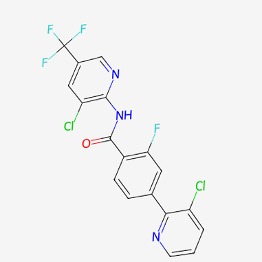 O=C(Nc1ncc(C(F)(F)F)cc1Cl)c1ccc(-c2ncccc2Cl)cc1F